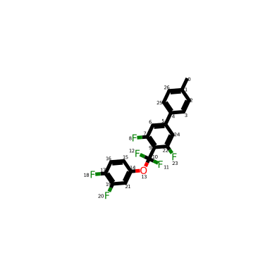 Cc1ccc(-c2cc(F)c(C(F)(F)Oc3ccc(F)c(F)c3)c(F)c2)cc1